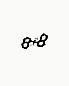 [CH2]CCCC(CC)(c1cccc2ccccc12)c1cccc2ccccc12